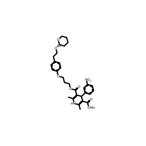 COC(=O)C1=C(C)NC(C)=C(C(=O)OCCCOc2ccc(CCO[C@@H]3CCCCO3)cc2)C1c1cccc([N+](=O)[O-])c1